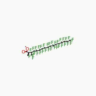 C=C(C(=O)OC)C(F)(C(F)(F)F)C(F)(F)C(F)(F)C(F)(F)C(F)(F)C(F)(F)C(F)(F)C(F)(F)C(F)(F)C(F)(F)C(F)(F)C(F)(F)C(F)(F)C(F)(F)C(F)(F)F